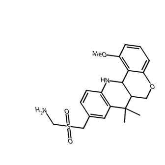 COc1cccc2c1C1Nc3ccc(CS(=O)(=O)CN)cc3C(C)(C)C1CO2